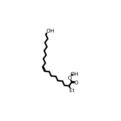 CCC(CCCCCC/C=C\CCCCCCCCO)C(=O)OO